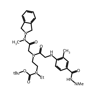 CCN(CCN(CC(=O)N(C)N1Cc2ccccc2C1)C(=O)CNc1ccc(C(=O)NNC)cc1C)C(=O)OC(C)(C)C